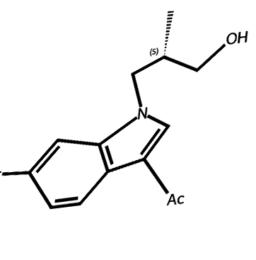 CC(=O)c1cn(C[C@H](C)CO)c2cc(Br)ccc12